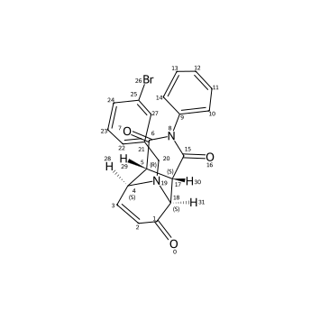 O=C1C=C[C@H]2[C@@H]3C(=O)N(c4ccccc4)C(=O)[C@@H]3[C@@H]1N2Cc1cccc(Br)c1